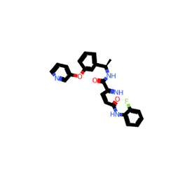 C[C@@H](NC(=O)C(=N)/C=C\C(=O)Nc1ccccc1F)c1cccc(Oc2cccnc2)c1